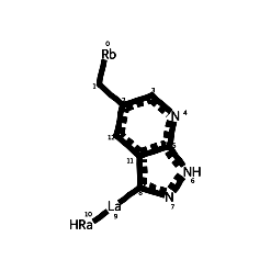 [Rb][CH2]c1cnc2[nH]n[c]([La][RaH])c2c1